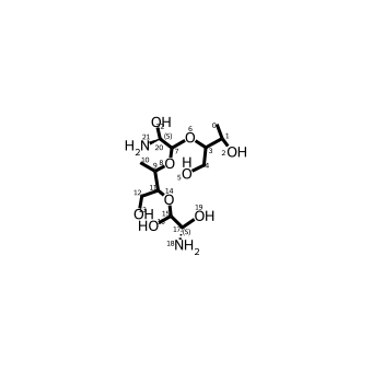 CC(O)C(CO)OC(OC(C)C(CO)OC(O)[C@@H](N)O)[C@@H](N)O